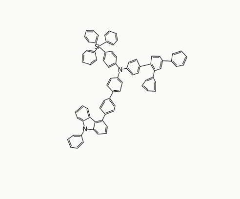 c1ccc(-c2ccc(-c3ccc(N(c4ccc(-c5ccc(-c6cccc7c6c6ccccc6n7-c6ccccc6)cc5)cc4)c4ccc([Si](c5ccccc5)(c5ccccc5)c5ccccc5)cc4)cc3)c(-c3ccccc3)c2)cc1